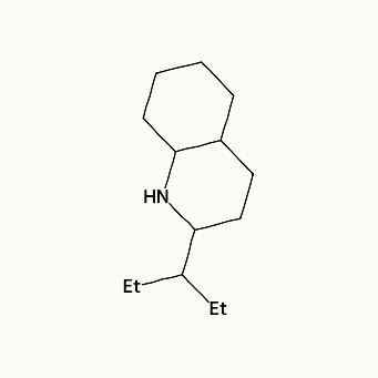 CCC(CC)C1CCC2CCCCC2N1